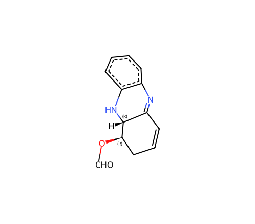 O=CO[C@@H]1CC=CC2=Nc3ccccc3N[C@H]21